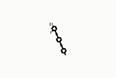 CCc1ccc(C#Cc2ccc(C#Cc3ccc(C)cc3)cc2)c(F)c1